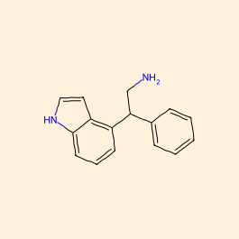 NCC(c1ccccc1)c1cccc2[nH]ccc12